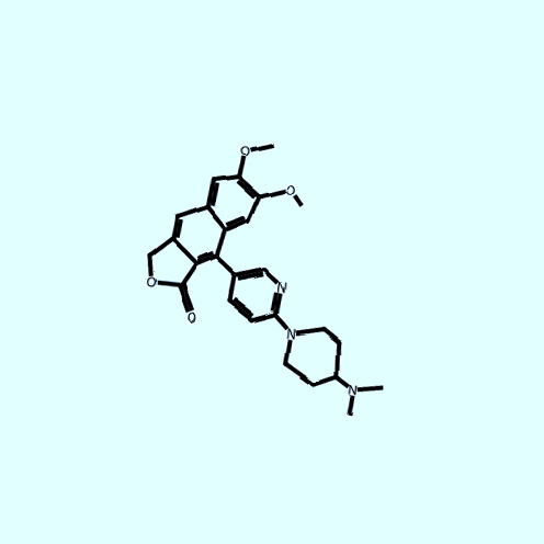 COc1cc2cc3c(c(-c4ccc(N5CCC(N(C)C)CC5)nc4)c2cc1OC)C(=O)OC3